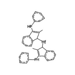 CC1=C(Pc2ccccc2)c2ccccc2[CH]1[Hf][CH]1C(C)=C(Pc2ccccc2)c2ccccc21